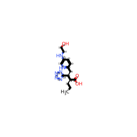 CCC[C@H](C(=O)O)[C@H](Cc1ccc(NCCO)cn1)c1nnn[nH]1